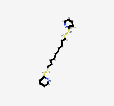 c1ccc(SSCCCCCCCCCCSSc2ccccn2)nc1